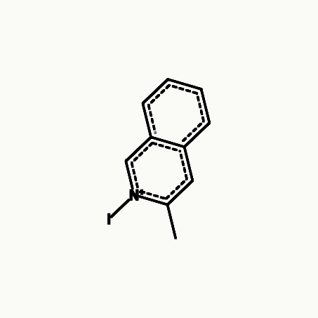 Cc1cc2ccccc2c[n+]1I